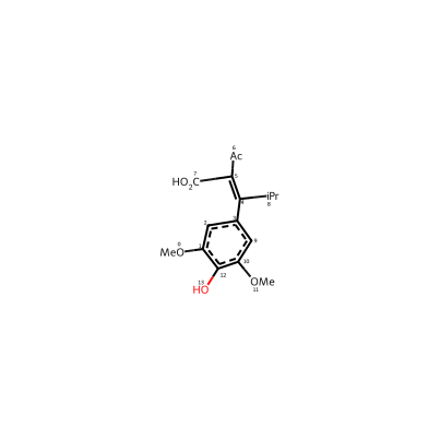 COc1cc(C(=C(C(C)=O)C(=O)O)C(C)C)cc(OC)c1O